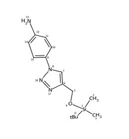 CC(C)(C)[Si](C)(C)OCc1cn(-c2ccc(N)cc2)nn1